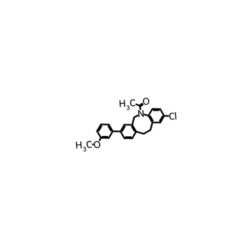 COc1cccc(-c2ccc3c(c2)CN(C(C)=O)c2ccc(Cl)cc2CC3)c1